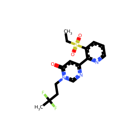 CCS(=O)(=O)c1cccnc1-c1cc(=O)n(CCC(C)(F)F)cn1